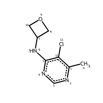 Cc1ncnc(NC2COC2)c1Cl